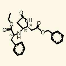 CCOC(=O)[C@H](Cc1ccccc1)N[C@H]1CC(=O)N[C@H]1CC(=O)OCc1ccccc1